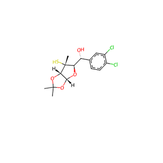 CC1(C)O[C@H]2O[C@H]([C@H](O)c3ccc(Cl)c(Cl)c3)[C@@](C)(S)[C@H]2O1